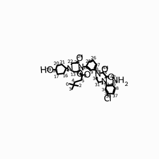 CC(C)(C)CCC(=O)Oc1c(N2CCN(C3CCC(O)CC3)CC2=O)cccc1N1CCN(c2cc(Cl)ccc2N)C(=O)C1=O